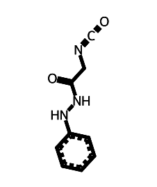 O=C=NCC(=O)NNc1ccccc1